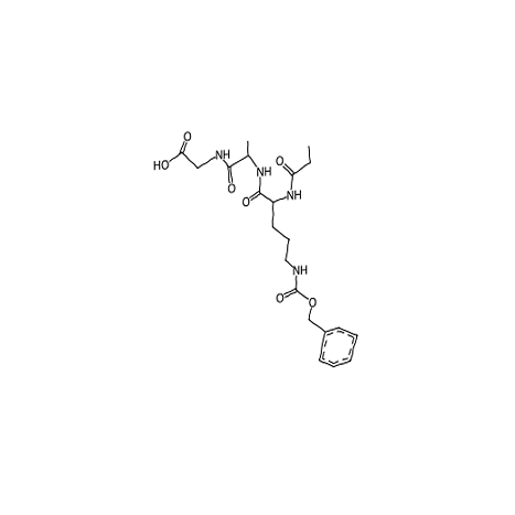 CCC(=O)NC(CCCNC(=O)OCc1ccccc1)C(=O)NC(C)C(=O)NCC(=O)O